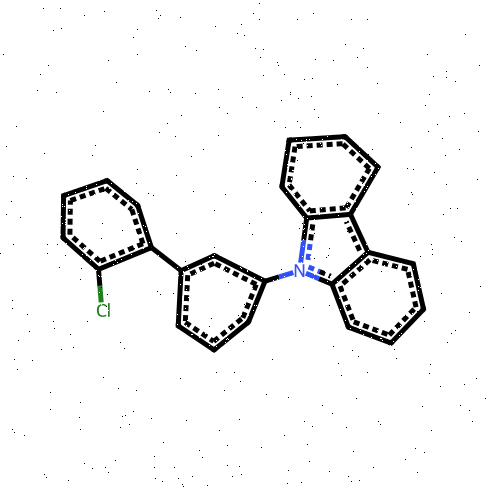 Clc1ccccc1-c1cccc(-n2c3ccccc3c3ccccc32)c1